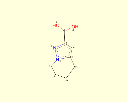 OC(O)c1cc2n(n1)CCCC2